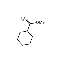 C=C(OC)C1CCCCC1